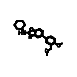 COCc1cc(-c2ccc3oc(NC4CCCCC4)nc3c2)ccc1OC